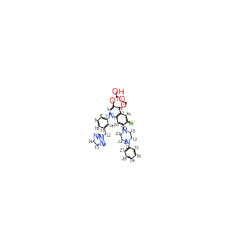 O=C(O)Oc1cn(-c2cccc(Cn3nccn3)c2)c2cc(N3CCN(c4ccccc4)CC3)c(F)cc2c1=O